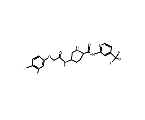 O=C(COc1ccc(Cl)c(F)c1)NC1CCC(C(=O)Nc2cc(C(F)(F)F)ccn2)NC1